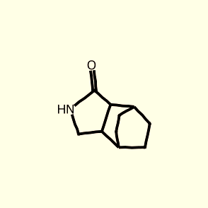 O=C1NCC2C3CCC(CC3)C12